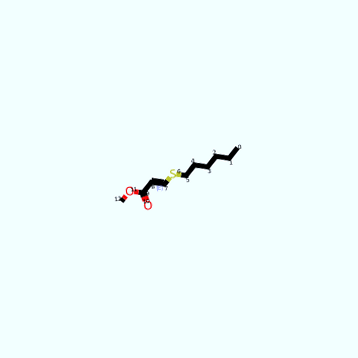 CCCCCCS/C=C/C(=O)OC